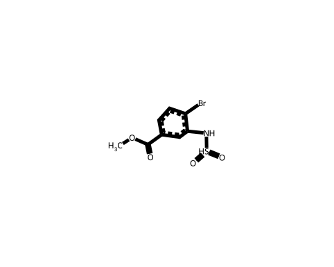 COC(=O)c1ccc(Br)c(N[SH](=O)=O)c1